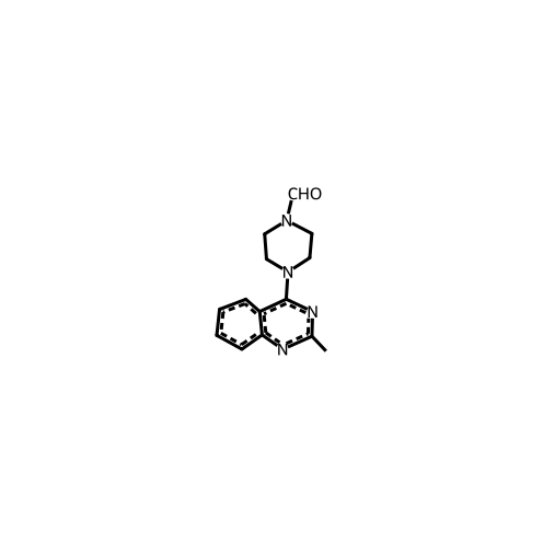 Cc1nc(N2CCN(C=O)CC2)c2ccccc2n1